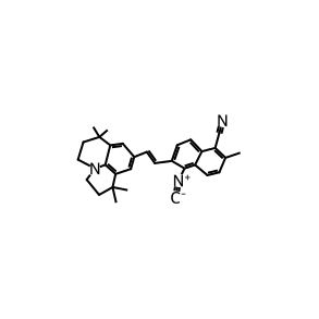 [C-]#[N+]c1c(C=Cc2cc3c4c(c2)C(C)(C)CCN4CCC3(C)C)ccc2c(C#N)c(C)ccc12